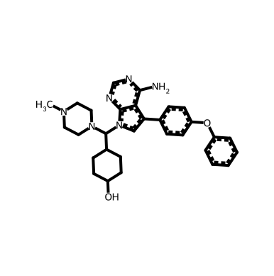 CN1CCN(C(C2CCC(O)CC2)n2cc(-c3ccc(Oc4ccccc4)cc3)c3c(N)ncnc32)CC1